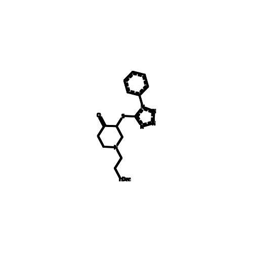 CCCCCCCCCCCCN1CCC(=O)C(Sc2nnnn2-c2ccccc2)C1